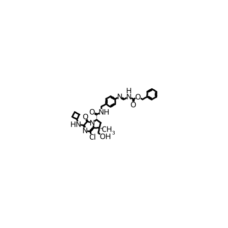 C[C@@]1(CO)C[C@@H](C(=O)NCc2ccc(N=CNC(=O)OCc3ccccc3)cc2)n2c1c(Cl)nc(NC1CCC1)c2=O